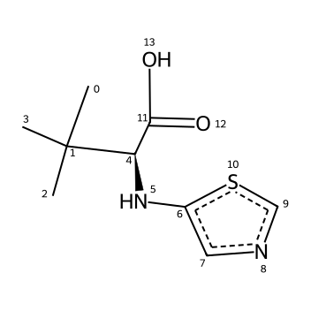 CC(C)(C)[C@H](Nc1cncs1)C(=O)O